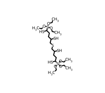 CCO[Si](OCC)(OCC)C(S)CCC(S)CSCC(S)CCC(S)[Si](OCC)(OCC)OCC